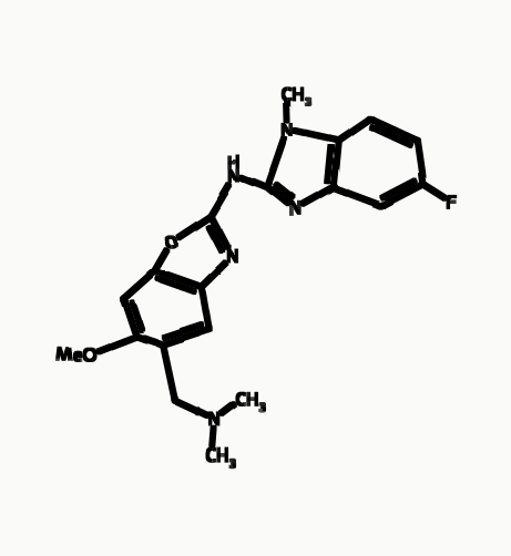 COc1cc2oc(Nc3nc4cc(F)ccc4n3C)nc2cc1CN(C)C